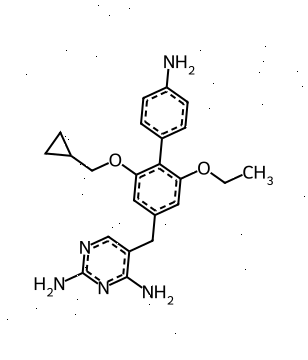 CCOc1cc(Cc2cnc(N)nc2N)cc(OCC2CC2)c1-c1ccc(N)cc1